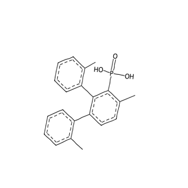 Cc1ccccc1-c1ccc(C)c(P(=O)(O)O)c1-c1ccccc1C